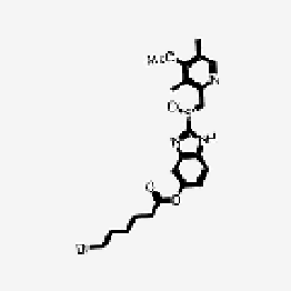 COc1c(C)cnc(C[S+]([O-])c2nc3cc(OC(=O)CCCCCBr)ccc3[nH]2)c1C